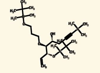 C=C[C@@H](O[Si](C)(C)C(C)(C)C)[C@@H](OCCCO[Si](C)(C)C(C)(C)C)[C@H](O)CC#C[Si](C)(C)C